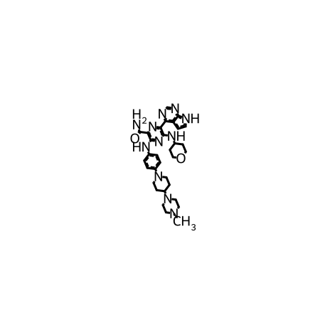 CN1CCN(C2CCN(c3ccc(Nc4nc(NC5CCOCC5)c(-c5ncnc6[nH]ccc56)nc4C(N)=O)cc3)CC2)CC1